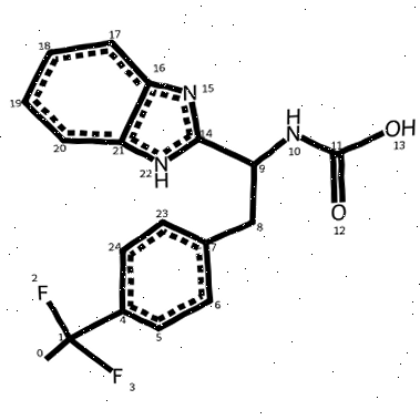 CC(F)(F)c1ccc(CC(NC(=O)O)c2nc3ccccc3[nH]2)cc1